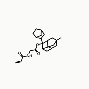 C=CC(=O)NCC(=O)OC1(C2CC3CCC2C3)C2CC3CC1CC(C)(C3)C2